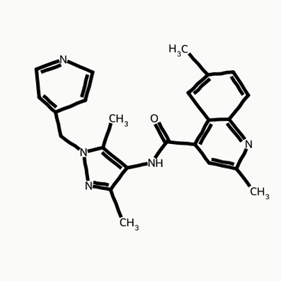 Cc1ccc2nc(C)cc(C(=O)Nc3c(C)nn(Cc4ccncc4)c3C)c2c1